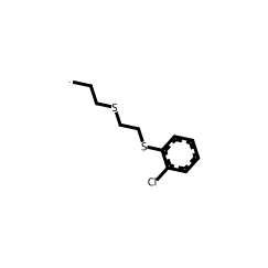 [CH2]CCSCCSc1ccccc1Cl